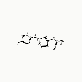 Cc1ccc(Oc2cccc(CC(N)=O)c2)cc1